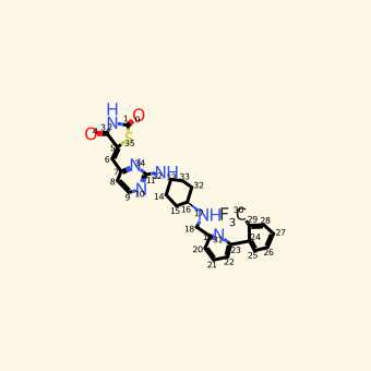 O=C1NC(=O)C(=Cc2ccnc(N[C@H]3CC[C@H](NCc4cccc(-c5ccccc5C(F)(F)F)n4)CC3)n2)S1